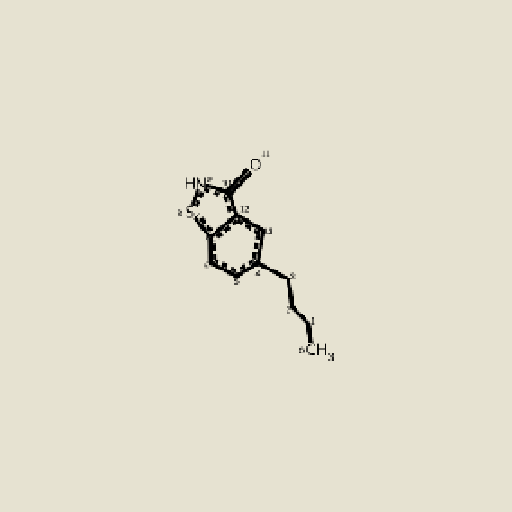 CCCCc1ccc2s[nH]c(=O)c2c1